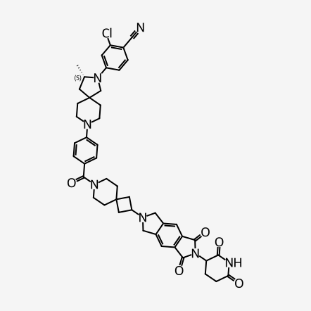 C[C@H]1CC2(CCN(c3ccc(C(=O)N4CCC5(CC4)CC(N4Cc6cc7c(cc6C4)C(=O)N(C4CCC(=O)NC4=O)C7=O)C5)cc3)CC2)CN1c1ccc(C#N)c(Cl)c1